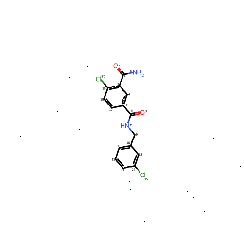 NC(=O)c1cc(C(=O)NCc2cccc(Cl)c2)ccc1Cl